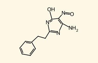 Nc1nc(CCc2ccccc2)nc(O)c1N=O